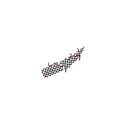 C=CC1(CI)C2(C)C(C)C34CC56CC78CC9%10CC%11%12CC%13(CC%14(CC(C)C%14)C%13(C)CC)C%11(C)CC%11(C(C)(CC)C%13(C(C)(C)C%14(C%15(C)C(C)(C)C%16%17C(C)(C)C(CC)(CC%18C%19(CC)C%20(CC%20)C%20%21C(C)(CC)C%22%23C%24(CC%24)C%24%25C(C)(CCC)C%26%27C(C)(C)C%28%29C(C)(C)CC%28%30CC%28(C)CC%31%32CC%33%34CC%35%36CC%37%38CC%39%40CC(C)(C)C%18%39C%19%20C%40%37C%21%22C%38%35C%24%23C%33%36C%26%25C%31%34C%29%27C%28%30%32)C1%16C23C%15%17C54%14)C76%13)C98%11)C%12%10CC(C)I